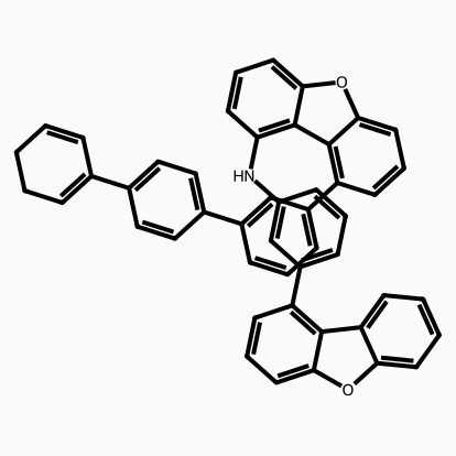 C1=CC(c2ccc(-c3cccc(-c4cccc5oc6cccc(Nc7cccc(-c8cccc9oc%10ccccc%10c89)c7)c6c45)c3)cc2)=CCC1